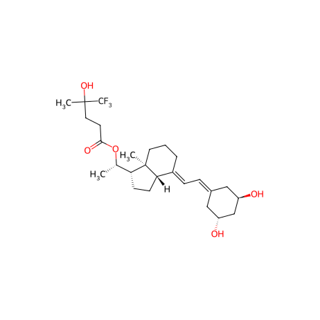 C[C@H](OC(=O)CCC(C)(O)C(F)(F)F)[C@H]1CC[C@H]2/C(=C/C=C3C[C@@H](O)C[C@H](O)C3)CCC[C@]12C